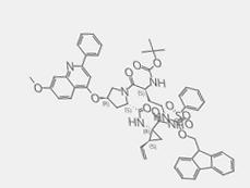 C=C[C@@H]1C[C@]1(NC(=O)[C@@H]1C[C@@H](Oc2cc(-c3ccccc3)nc3cc(OC)ccc23)CN1C(=O)[C@H](CCNC(=O)OCC1c2ccccc2-c2ccccc21)NC(=O)OC(C)(C)C)C(=O)NS(=O)(=O)c1ccccc1